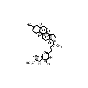 CC[C@@H](C)[C@H](NC(=O)[C@@H](NC(=O)CC[C@@H](C)[C@H]1CC[C@H]2[C@@H]3CC[C@@H]4C[C@H](O)CC[C@]4(C)[C@H]3CC[C@]12C)C(C)C)C(=O)O